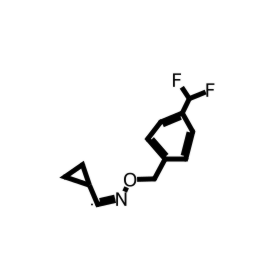 FC(F)c1ccc(CO/N=[C]\C2CC2)cc1